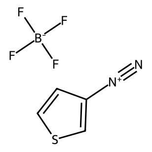 F[B-](F)(F)F.N#[N+]c1ccsc1